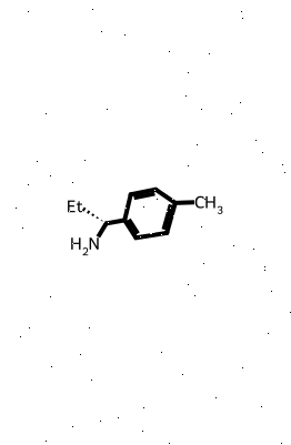 CC[C@@H](N)c1ccc(C)cc1